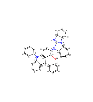 c1ccc(N2c3ccccc3B3c4ccccc4Oc4c(-n5c6ccccc6n6c7ccccc7nc56)ccc2c43)cc1